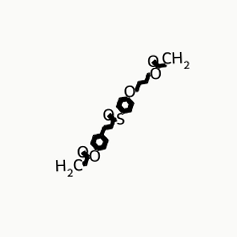 C=CC(=O)OCCCCOc1ccc(SC(=O)/C=C/c2ccc(OC(=O)C=C)cc2)cc1